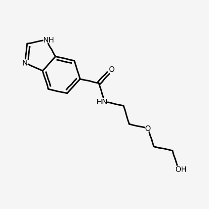 O=C(NCCOCCO)c1ccc2nc[nH]c2c1